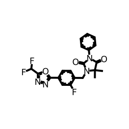 CC1(C)C(=O)N(c2ccccc2)C(=O)N1Cc1ccc(-c2nnc(C(F)F)o2)cc1F